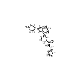 Cc1ccc(-n2cc3c(N4CCCC(C(=O)NCc5cc[nH]n5)C4)ncnc3n2)cc1